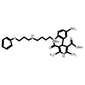 COC(=O)C1=C(C)NC(C)=C(C(=O)OC)C1c1cc([N+](=O)[O-])ccc1OCCCCNCCCOc1ccccc1